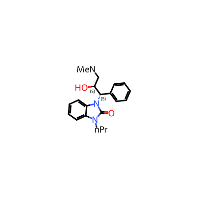 CCCn1c(=O)n([C@@H](c2ccccc2)[C@@H](O)CNC)c2ccccc21